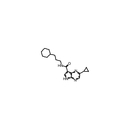 O=C(NCCCC1CCCCC1)c1c[nH]c2ncc(C3CC3)nc12